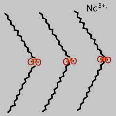 CCCCCCCCCCCCCCCCCCP(=O)([O-])CCCCCCCCCCCCCCCCCC.CCCCCCCCCCCCCCCCCCP(=O)([O-])CCCCCCCCCCCCCCCCCC.CCCCCCCCCCCCCCCCCCP(=O)([O-])CCCCCCCCCCCCCCCCCC.[Nd+3]